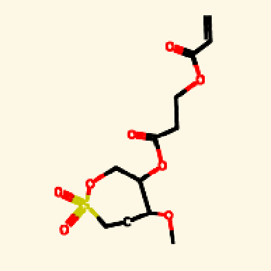 C=CC(=O)OCCC(=O)OC1COS(=O)(=O)CCC1OC